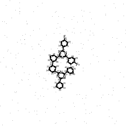 Fc1ccc(-c2nc(-c3ccc(F)cc3)nc(-c3cccc(-c4cccc(-c5nc(-c6ccccc6)nc(-c6ccccc6)n5)c4)c3)n2)cc1